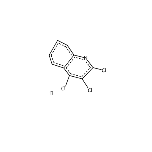 Clc1nc2ccccc2c(Cl)c1Cl.[Ti]